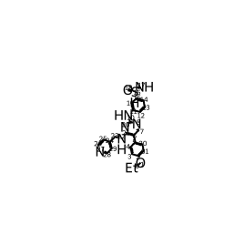 CCOc1ccc(-c2cnc(Nc3cccc([SH](=N)=O)c3)nc2NCc2ccncc2)cc1